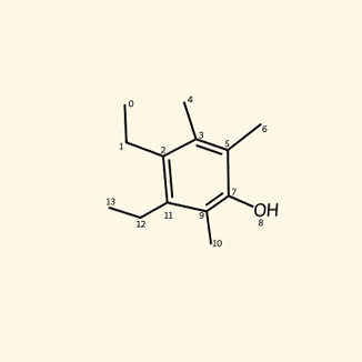 CCc1c(C)c(C)c(O)c(C)c1CC